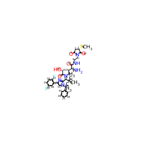 CSC1CC(=O)N(CCNC(=O)[C@@H](N)CCN(C(=O)CO)[C@@H](c2nc(-c3cc(F)ccc3F)cn2Cc2ccccc2)C(C)(C)C)C1=O